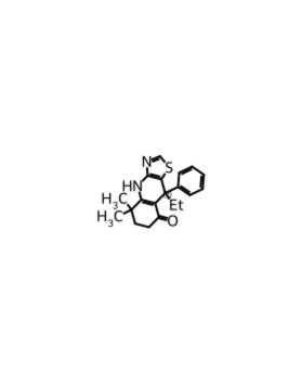 CC[C@@]1(c2ccccc2)C2=C(Nc3ncsc31)C(C)(C)CCC2=O